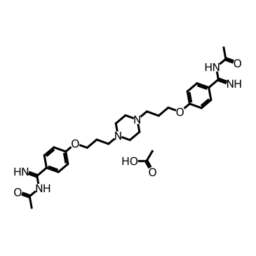 CC(=O)NC(=N)c1ccc(OCCCN2CCN(CCCOc3ccc(C(=N)NC(C)=O)cc3)CC2)cc1.CC(=O)O